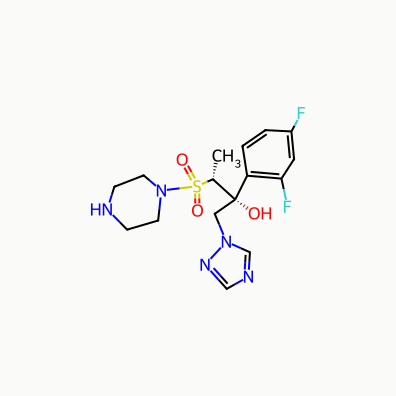 C[C@H]([C@](O)(Cn1cncn1)c1ccc(F)cc1F)S(=O)(=O)N1CCNCC1